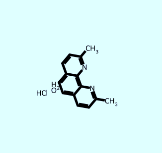 Cc1ccc2ccc3ccc(C)nc3c2n1.Cl.O